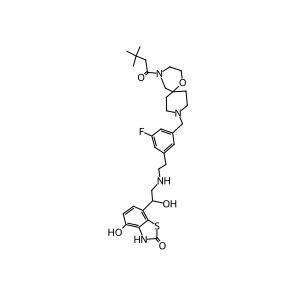 CC(C)(C)CC(=O)N1CCOC2(CCN(Cc3cc(F)cc(CCNCC(O)c4ccc(O)c5[nH]c(=O)sc45)c3)CC2)C1